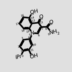 CC(C)c1ccc(-n2cc(C(N)=O)c(=O)c3c(O)cccc32)cc1O